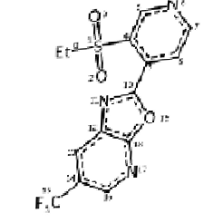 CCS(=O)(=O)c1cnccc1-c1nc2cc(C(F)(F)F)cnc2o1